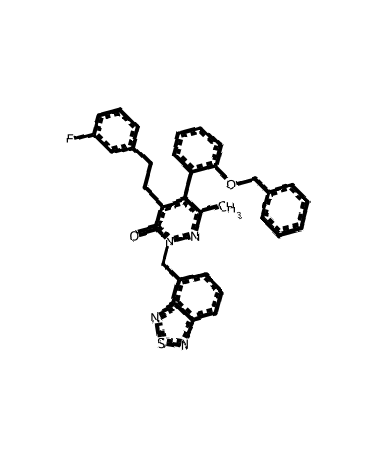 Cc1nn(Cc2cccc3nsnc23)c(=O)c(CCc2cccc(F)c2)c1-c1ccccc1OCc1ccccc1